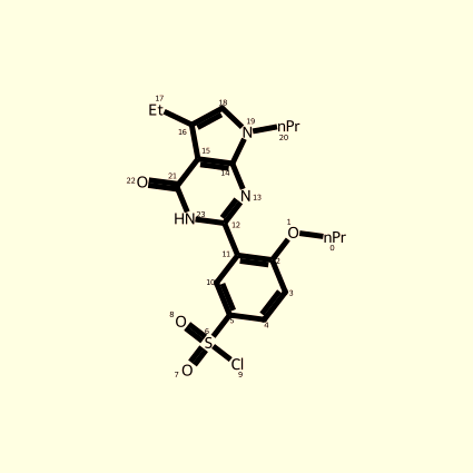 CCCOc1ccc(S(=O)(=O)Cl)cc1-c1nc2c(c(CC)cn2CCC)c(=O)[nH]1